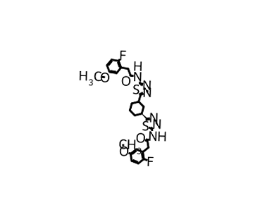 COc1ccc(F)c(CC(=O)Nc2nnc(C3CCC[C@H](c4nnc(NC(=O)Cc5cc(OC)ccc5F)s4)C3)s2)c1